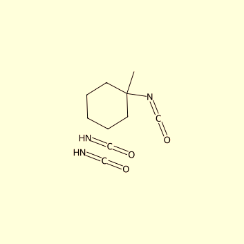 CC1(N=C=O)CCCCC1.N=C=O.N=C=O